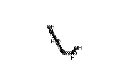 O=C(NCSCSCSC/N=C\OOCSCSCSCOC(=O)NCSCSCSC/N=C/OOCSCO)OCSCO